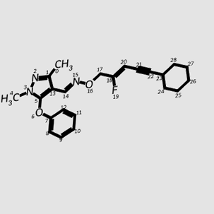 Cc1nn(C)c(Oc2ccccc2)c1C=NOCC(F)=CC#CC1CCCCC1